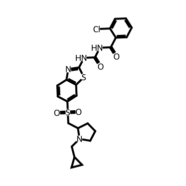 O=C(NC(=O)c1ccccc1Cl)Nc1nc2ccc(S(=O)(=O)CC3CCCN3CC3CC3)cc2s1